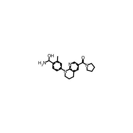 Cc1cc(N2CCCc3cc(C(=O)N4CCCC4)cnc32)ccc1C(N)O